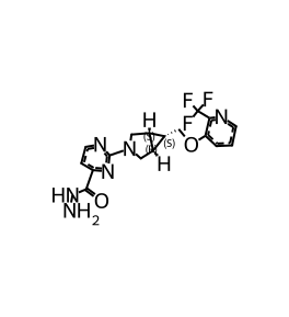 NNC(=O)c1ccnc(N2C[C@@H]3[C@H](COc4cccnc4C(F)(F)F)[C@@H]3C2)n1